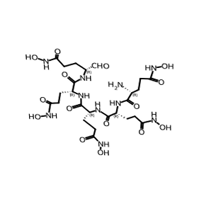 N[C@H](CCC(=O)NO)C(=O)N[C@H](CCC(=O)NO)C(=O)N[C@H](CCC(=O)NO)C(=O)N[C@H](CCC(=O)NO)C(=O)N[C@@H](C=O)CCC(=O)NO